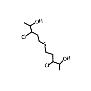 CC(O)C(Cl)CCSCCC(Cl)C(C)O